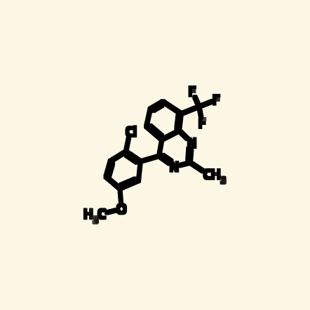 COc1ccc(Cl)c(-c2nc(C)nc3c(C(F)(F)F)cccc23)c1